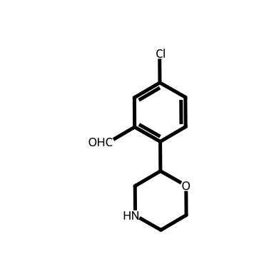 O=Cc1cc(Cl)ccc1C1CNCCO1